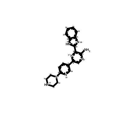 Nc1ncc(-c2ccc(N3CCNCC3)nc2)nc1-c1nc2ccccc2[nH]1